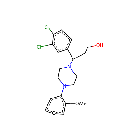 COc1ccccc1N1CCN(C(CCO)c2ccc(Cl)c(Cl)c2)CC1